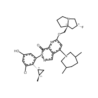 CC1CCC(C)CN(c2cc(OC[C@@]34CCCN3C[C@H](F)C4)nc3c(=O)n(-c4cc(O)cc(Cl)c4[C@@H]4C[C@H]4C)ncc23)C1